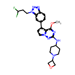 COc1nc(NC2CCN(C3COC3)CC2)nn2ccc(-c3ccc4nnn(CCC(F)F)c4c3)c12